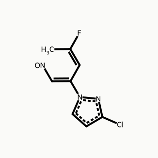 C/C(F)=C\C(=C/N=O)n1ccc(Cl)n1